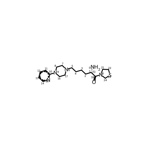 N[C@@H](CCCCN1CCN(c2ccccn2)CC1)C(=O)N1CCSC1